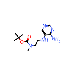 CN(CCNc1cncnc1N)C(=O)OC(C)(C)C